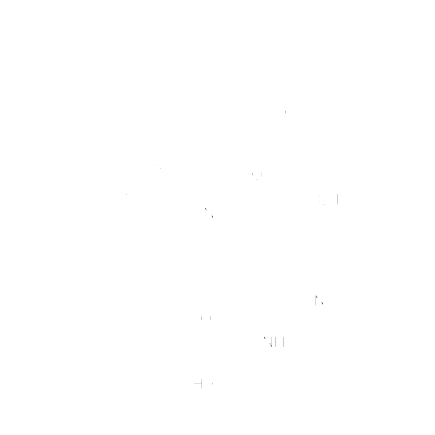 COC(=O)c1nc(-c2cc(NC(C)=O)ncc2C)oc1-c1ccccc1Cl